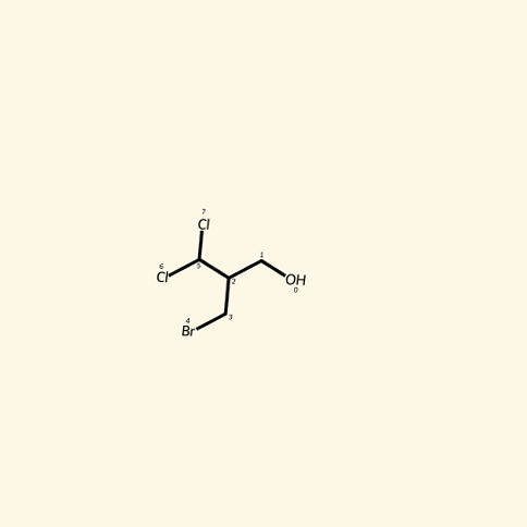 OCC(CBr)C(Cl)Cl